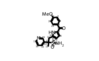 COc1ccc(C(=O)c2ccc(CC(C)(c3cccnc3)S(N)(=O)=O)[nH]2)cc1